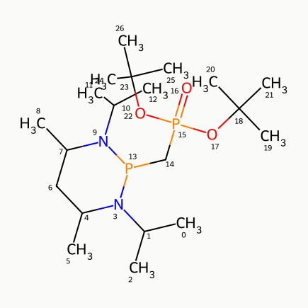 CC(C)N1C(C)CC(C)N(C(C)C)P1CP(=O)(OC(C)(C)C)OC(C)(C)C